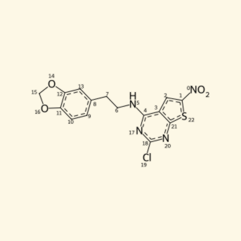 O=[N+]([O-])c1cc2c(NCCc3ccc4c(c3)OCO4)nc(Cl)nc2s1